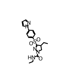 CCNC(=O)N1CC(CC)C(S(=O)(=O)c2ccc(-n3cccn3)cc2)=N1